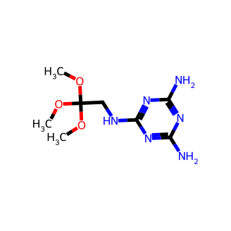 COC(CNc1nc(N)nc(N)n1)(OC)OC